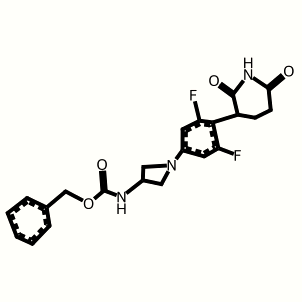 O=C1CCC(c2c(F)cc(N3CC(NC(=O)OCc4ccccc4)C3)cc2F)C(=O)N1